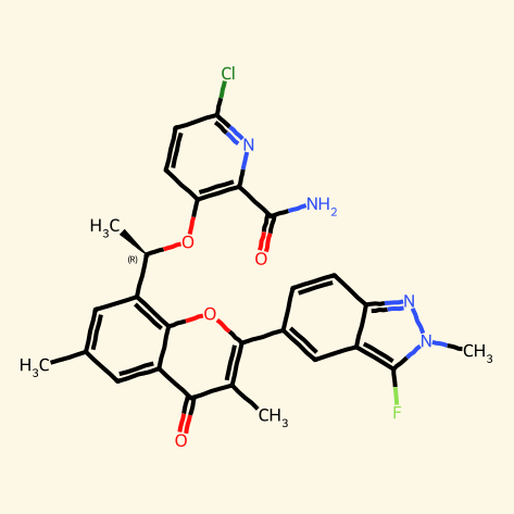 Cc1cc([C@@H](C)Oc2ccc(Cl)nc2C(N)=O)c2oc(-c3ccc4nn(C)c(F)c4c3)c(C)c(=O)c2c1